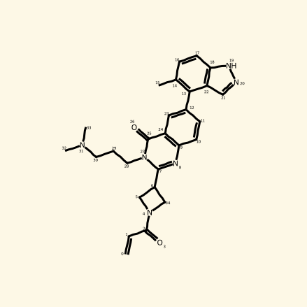 C=CC(=O)N1CC(c2nc3ccc(-c4c(C)ccc5[nH]ncc45)cc3c(=O)n2CCCN(C)C)C1